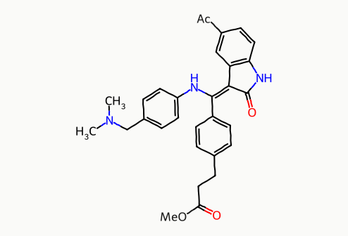 COC(=O)CCc1ccc(C(Nc2ccc(CN(C)C)cc2)=C2C(=O)Nc3ccc(C(C)=O)cc32)cc1